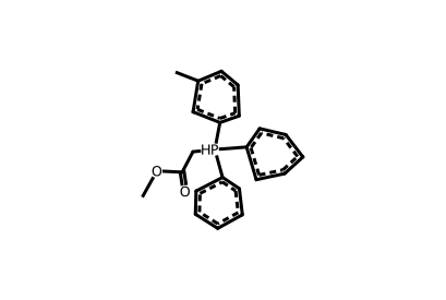 COC(=O)C[PH](c1ccccc1)(c1ccccc1)c1cccc(C)c1